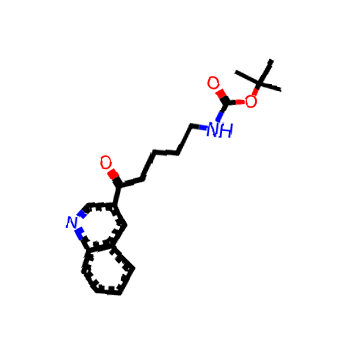 CC(C)(C)OC(=O)NCCCCC(=O)c1cnc2ccccc2c1